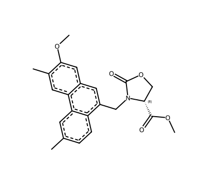 COC(=O)[C@H]1COC(=O)N1Cc1cc2cc(OC)c(C)cc2c2cc(C)ccc12